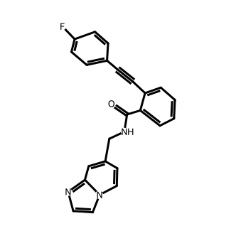 O=C(NCc1ccn2ccnc2c1)c1ccccc1C#Cc1ccc(F)cc1